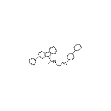 C\C(=N/C=C\C=N\c1ccc(-c2ccccc2)cc1)n1c2ccccc2c2ccc(-c3ccccc3)cc21